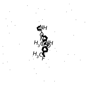 Cc1nc(OC[C@@H]2CCCN2)ccc1NS(=O)(=O)c1ccc([C@@H](C)CF)cc1